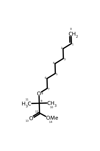 C=CCCCCCCOC(C)(C)C(=O)OC